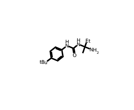 CCC(C)(N)NC(=O)Nc1ccc(C(C)(C)C)cc1